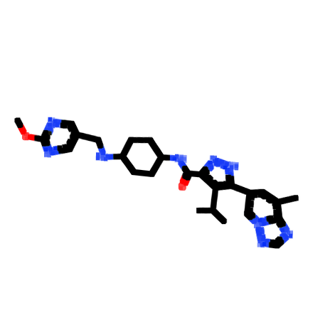 COc1ncc(CNC2CCC(NC(=O)c3n[nH]c(-c4cc(C)c5ncnn5c4)c3C(C)C)CC2)cn1